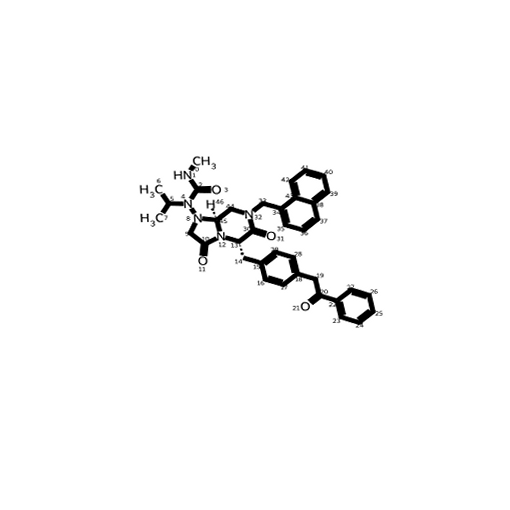 CNC(=O)N(C(C)C)N1CC(=O)N2[C@@H](Cc3ccc(CC(=O)c4ccccc4)cc3)C(=O)N(Cc3cccc4ccccc34)C[C@@H]21